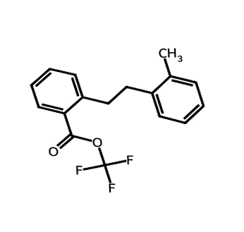 Cc1ccccc1CCc1ccccc1C(=O)OC(F)(F)F